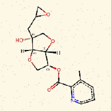 Cc1cccnc1C(=O)O[C@H]1CO[C@H]2[C@@H]1OC[C@]2(O)CC1CO1